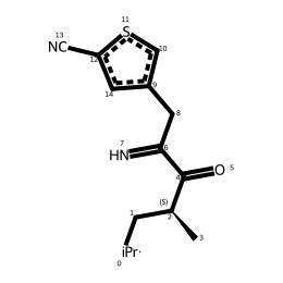 C[C](C)C[C@H](C)C(=O)C(=N)Cc1csc(C#N)c1